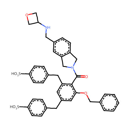 O=C(c1c(Cc2ccc(S(=O)(=O)O)cc2)cc(Cc2ccc(S(=O)(=O)O)cc2)cc1OCc1ccccc1)N1Cc2ccc(CNC3COC3)cc2C1